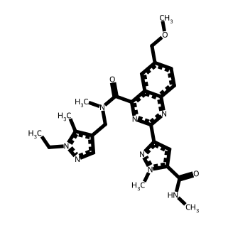 CCn1ncc(CN(C)C(=O)c2nc(-c3cc(C(=O)NC)n(C)n3)nc3ccc(COC)cc23)c1C